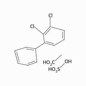 CC(=O)O.Clc1cccc(-c2ccccc2)c1Cl.O=S(=O)(O)O